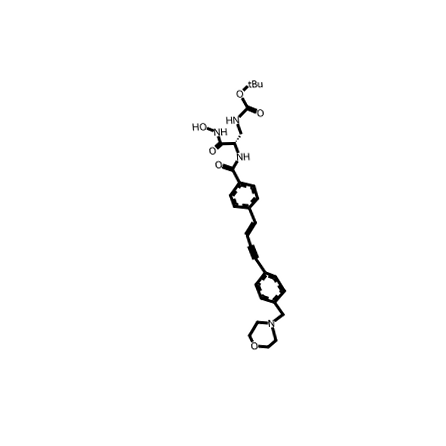 CC(C)(C)OC(=O)NC[C@H](NC(=O)c1ccc(C=CC#Cc2ccc(CN3CCOCC3)cc2)cc1)C(=O)NO